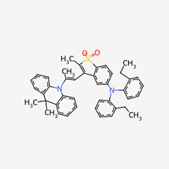 CCc1ccccc1N(c1ccc2c(c1)C(/C=C(\C)N1c3ccccc3C(C)(C)c3ccccc31)=C(C)S2(=O)=O)c1ccccc1CC